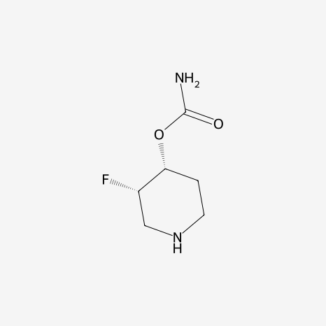 NC(=O)O[C@@H]1CCNC[C@@H]1F